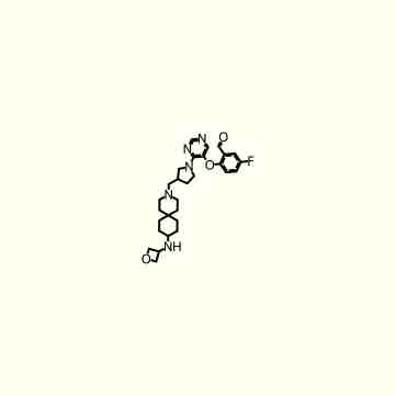 O=Cc1cc(F)ccc1Oc1cncnc1N1CCC(CN2CCC3(CCC(NC4COC4)CC3)CC2)C1